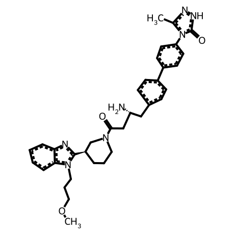 COCCCn1c([C@@H]2CCCN(C(=O)C[C@H](N)Cc3ccc(-c4ccc(-n5c(C)n[nH]c5=O)cc4)cc3)C2)nc2ccccc21